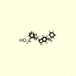 CN(c1ccccc1)c1ccc2c(c1)CC[C@@H]2CNc1cnccc1C(=O)O